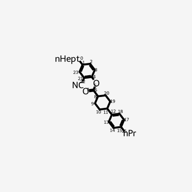 CCCCCCCc1ccc(OC(=O)C2CCC(c3ccc(CCC)cc3)CC2)c(C#N)c1